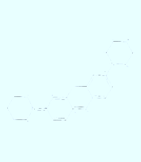 c1cc(=[N+]2CCCCC2)cc2oc3cc(N4CCCCC4)ccc3cc1-2